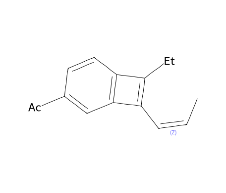 C/C=C\C1=C(CC)c2ccc(C(C)=O)cc21